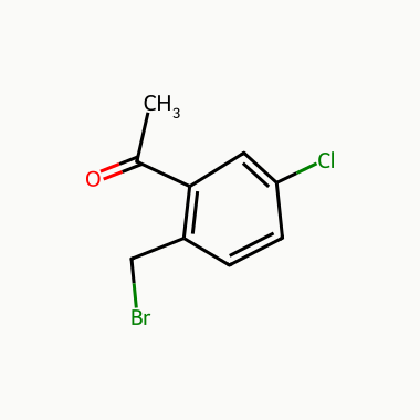 CC(=O)c1cc(Cl)ccc1CBr